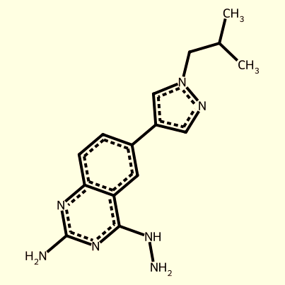 CC(C)Cn1cc(-c2ccc3nc(N)nc(NN)c3c2)cn1